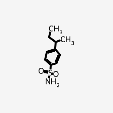 CCC(C)c1ccc(S(N)(=O)=O)cc1